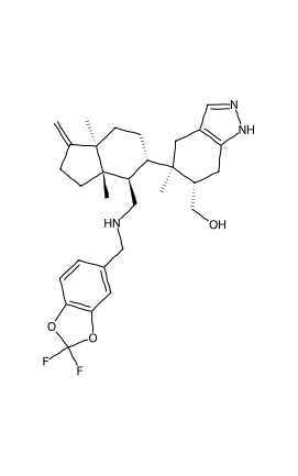 C=C1CC[C@@]2(C)[C@H](CNCc3ccc4c(c3)OC(F)(F)O4)[C@@H]([C@@]3(C)Cc4cn[nH]c4C[C@@H]3CO)CC[C@]12C